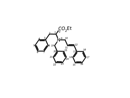 CCOC(=O)C(Cc1ccccc1)N(C/C=C/c1ccccc1)Cc1ccccc1